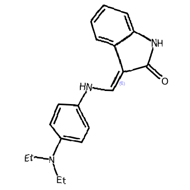 CCN(CC)c1ccc(N/C=C2/C(=O)Nc3ccccc32)cc1